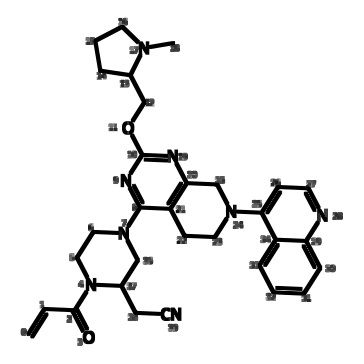 C=CC(=O)N1CCN(c2nc(OCC3CCCN3C)nc3c2CCN(c2ccnc4ccccc24)C3)CC1CC#N